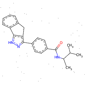 CC(C)C(C)NC(=O)c1ccc(-c2n[nH]c3c2Cc2ccccc2-3)cc1